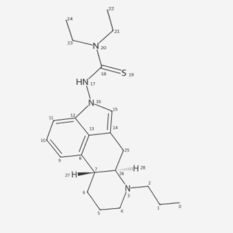 CCCN1CCC[C@@H]2c3cccc4c3c(cn4NC(=S)N(CC)CC)C[C@H]21